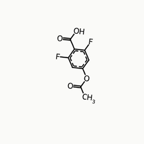 CC(=O)Oc1cc(F)c(C(=O)O)c(F)c1